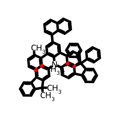 Cc1ccccc1-c1cc(-c2cccc3ccccc23)cc(-c2ccccc2C)c1N(c1ccc2c(c1)C(C)(C)c1ccccc1-2)c1ccc2c(c1)C(c1ccccc1)(c1ccccc1)c1ccccc1-2